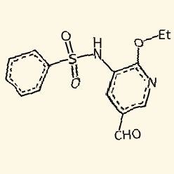 CCOc1ncc(C=O)cc1NS(=O)(=O)c1ccccc1